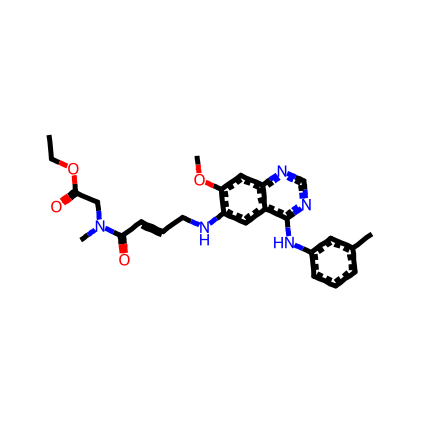 CCOC(=O)CN(C)C(=O)C=CCNc1cc2c(Nc3cccc(C)c3)ncnc2cc1OC